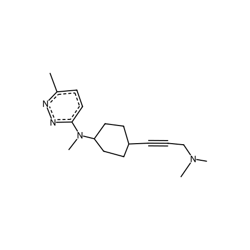 Cc1ccc(N(C)C2CCC(C#CCN(C)C)CC2)nn1